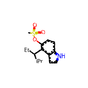 CCC(c1c(OS(C)(=O)=O)ccc2[nH]ccc12)C(C)C